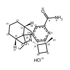 COC1(c2ccnc(C(N)=O)c2)[C@@H]2CCC[C@H]1CN([C@H]1CC[C@@H]1C)C2.Cl